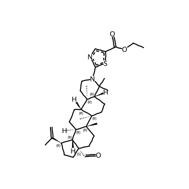 C=C(C)[C@@H]1CC[C@]2(C=O)CC[C@]3(C)[C@H](CC[C@@H]4[C@@]5(C)CCN(c6ncc(C(=O)OCC)s6)C(C)(C)[C@@H]5CC[C@]43C)[C@@H]12